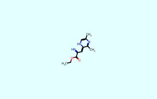 CCOC(=O)C(=N)/C=C1\NC=C(C)N=C1C